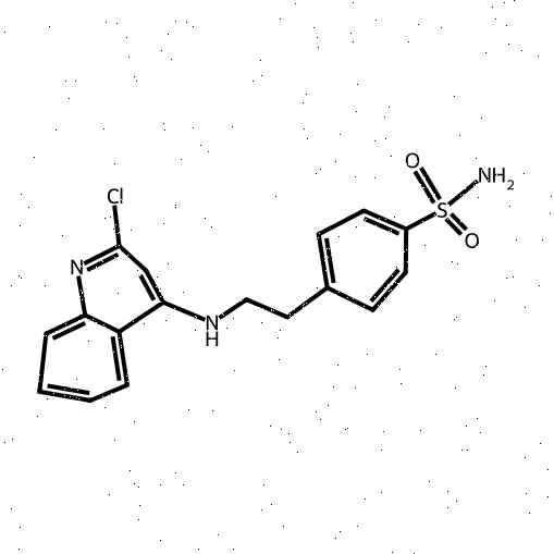 NS(=O)(=O)c1ccc(CCNc2cc(Cl)nc3ccccc23)cc1